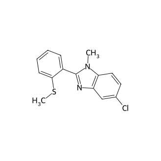 CSc1ccccc1-c1nc2cc(Cl)ccc2n1C